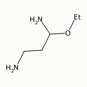 CCOC(N)CCN